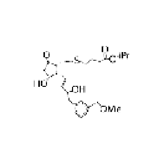 COCc1cccc(C[C@H](O)/C=C/[C@@H]2[C@H](O)CC(=O)[C@@H]2CCSCCCC(=O)OC(C)C)c1